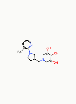 OC1[C@H](O)CN(CC2CCN(c3ncccc3C(F)(F)F)C2)C[C@@H]1O